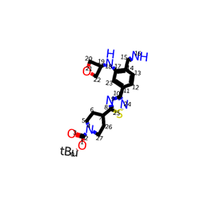 CC(C)(C)OC(=O)N1CCC(c2nc(-c3ccc(C=N)c(NC4COC4)c3)ns2)CC1